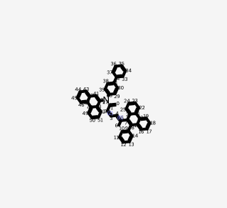 C=C(/C=C\C=C(/C)c1c(-c2ccccc2)c2ccccc2c2ccccc12)N(c1ccc(-c2ccccc2)cc1)c1cc2ccccc2c2ccccc12